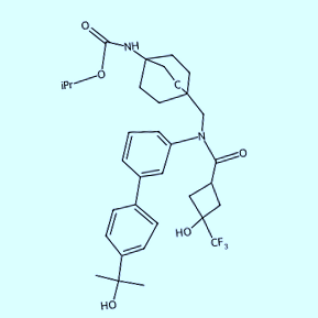 CC(C)OC(=O)NC12CCC(CN(C(=O)C3CC(O)(C(F)(F)F)C3)c3cccc(-c4ccc(C(C)(C)O)cc4)c3)(CC1)CC2